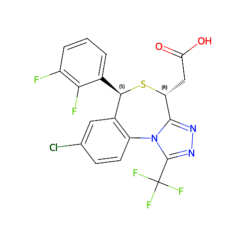 O=C(O)C[C@H]1S[C@H](c2cccc(F)c2F)c2cc(Cl)ccc2-n2c1nnc2C(F)(F)F